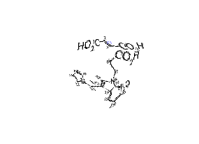 O.O=C(O)/C=C/C(=O)O.O=C(O)CCn1cc(Cn2ccnc2)c2ccccc21